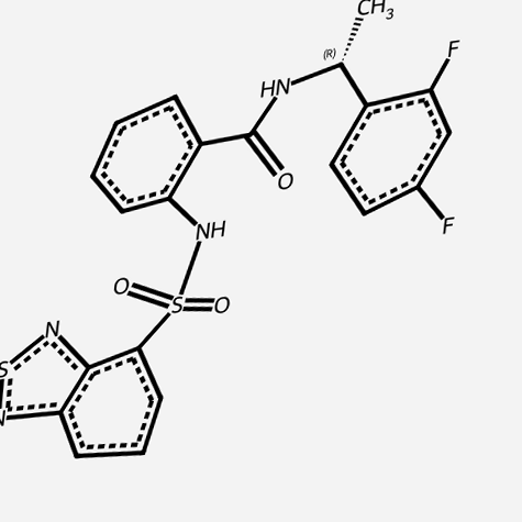 C[C@@H](NC(=O)c1ccccc1NS(=O)(=O)c1cccc2nsnc12)c1ccc(F)cc1F